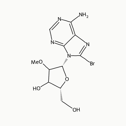 COC1C(O)[C@@H](CO)O[C@H]1n1c(Br)nc2c(N)ncnc21